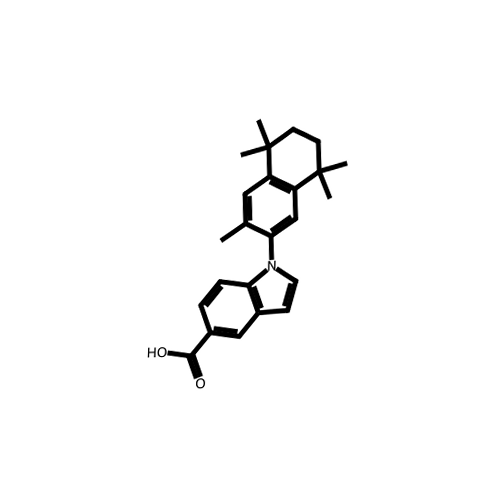 Cc1cc2c(cc1-n1ccc3cc(C(=O)O)ccc31)C(C)(C)CCC2(C)C